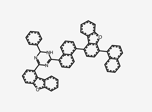 c1ccc(C2N=C(c3cccc4oc5ccccc5c34)N=C(c3cccc4c(-c5ccc(-c6cccc7ccccc67)c6oc7ccccc7c56)cccc34)N2)cc1